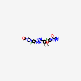 N#Cc1cc(-c2ncnc(Nc3ccc(N4CCN(C5COC5)CC4)c(F)c3)n2)ccc1O[C@H]1CCN(C(=O)c2cnn[nH]2)C[C@@H]1F